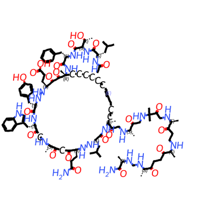 CC(=O)N[C@@H](CC(C)C)C(=O)N[C@H](C(=O)N[C@@H](Cc1ccccc1)C(=O)N[C@]1(C)CCCCCC/C=C/CCC[C@@](C)(C(=O)CN[C@@H](C)C(=O)CNC(C)(C)C(=O)CN[C@@H](C)C(=O)CCN[C@@H](C)C(=O)CCC(=O)[C@H](C)NCN[C@H](C)C(N)=O)NC(=O)[C@H](CC(C)C)NN[C@@H](CCC(N)=O)C(=O)CC(=O)[C@H](C)NCC(=O)[C@H](Cc2c[nH]c3ccccc23)NC(=O)[C@H](Cc2ccc(O)cc2)NN[C@@H](CCC(=O)O)C(=O)C1=O)[C@@H](C)O